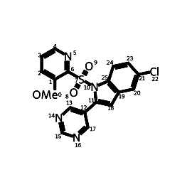 COc1cccnc1S(=O)(=O)n1c(-c2cncnc2)cc2cc(Cl)ccc21